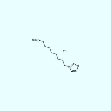 CCCCCCCCCCCCCCCC[n+]1ccoc1.[Cl-]